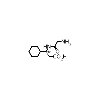 NCC(=O)N[C@H](CC(=O)O)C1CCCCC1